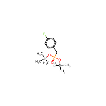 C[Si](C)(C)OP(=O)(Cc1ccc(F)cc1)O[Si](C)(C)C